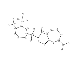 CC[C@@H]1CN(C(C)C)CCCN1C(C)CC(C)(C)N1CCCN(C(C)C)[C@H](C(C)(C)C)C1